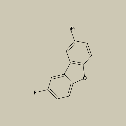 CC(C)c1ccc2oc3ccc(F)cc3c2c1